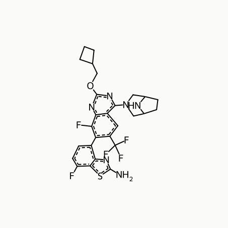 Nc1nc2c(-c3c(C(F)(F)F)cc4c(N5CC6CCC(C5)N6)nc(OCC5CCC5)nc4c3F)ccc(F)c2s1